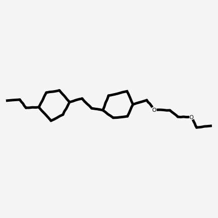 CCCC1CCC(CCC2CCC(COCCOCC)CC2)CC1